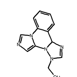 OCN1C=NC2c3ccccc3-n3cncc3N21